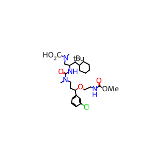 COC(=O)NCCOC(CCN(C)C(=O)NC(CN(C)C(=O)O)C(C1CCCCC1)C(C)(C)C)c1cccc(Cl)c1